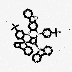 CC(C)(C)c1ccc(N2c3cc4oc5ccccc5c4cc3B3c4cc(C(C)(C)C)ccc4C4(c5ccccc5-c5ccccc54)c4cc(-n5c6ccccc6c6ccccc65)cc2c43)cc1